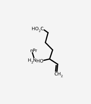 C=CC(O)CCCC(=O)O.CCCN